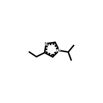 CCc1cn(C(C)C)cn1